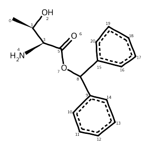 C[C@@H](O)[C@H](N)C(=O)OC(c1ccccc1)c1ccccc1